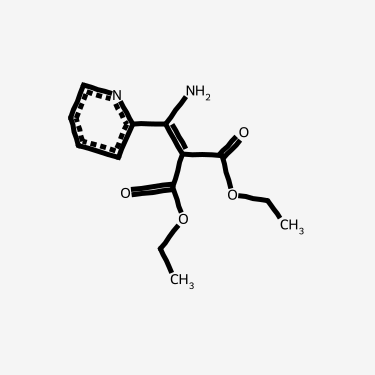 CCOC(=O)C(C(=O)OCC)=C(N)c1ccccn1